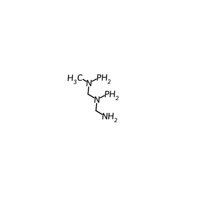 CN(P)CN(P)CN